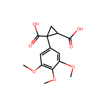 COc1cc(C2(C(=O)O)CC2C(=O)O)cc(OC)c1OC